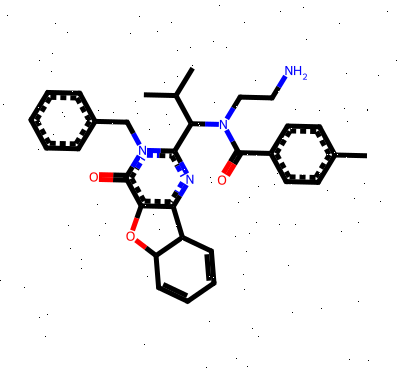 Cc1ccc(C(=O)N(CCN)C(c2nc3c(c(=O)n2Cc2ccccc2)OC2C=CC=CC32)C(C)C)cc1